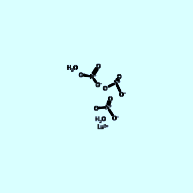 O.O.O=[N+]([O-])[O-].O=[N+]([O-])[O-].O=[N+]([O-])[O-].[Lu+3]